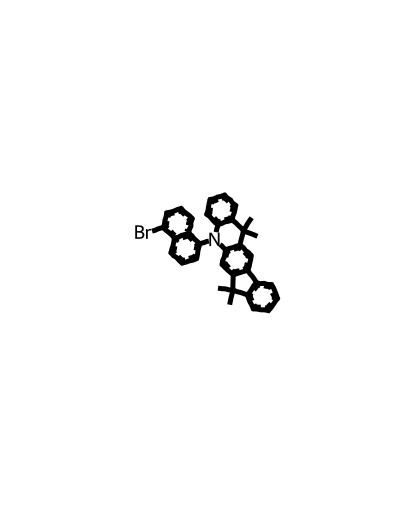 CC1(C)c2ccccc2-c2cc3c(cc21)N(c1cccc2c(Br)cccc12)c1ccccc1C3(C)C